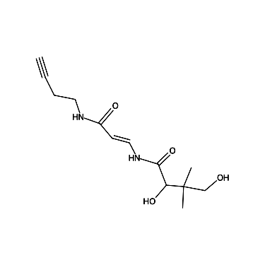 C#CCCNC(=O)C=CNC(=O)C(O)C(C)(C)CO